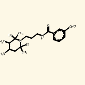 CCC1(C)CC(N)C(C)C(C)(CC)N1CCCNC(=O)c1cccc(C=O)c1